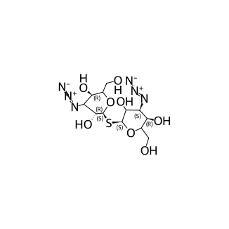 [N-]=[N+]=NC1[C@@H](O)C(CO)O[C@@H](S[C@@H]2OC(CO)[C@H](O)[C@H](N=[N+]=[N-])C2O)[C@@H]1O